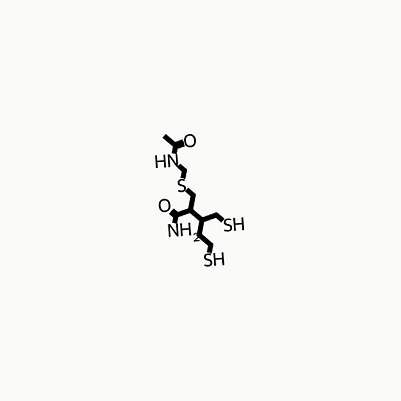 CC(=O)NCSCC(C(N)=O)C(CS)CCS